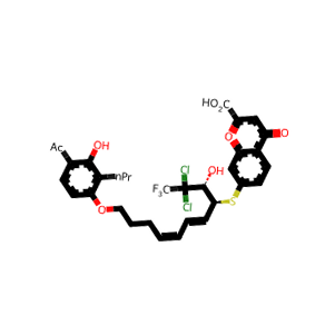 CCCc1c(OCCC/C=C\C=C\[C@H](Sc2ccc3c(=O)cc(C(=O)O)oc3c2)[C@@H](O)C(Cl)(Cl)C(F)(F)F)ccc(C(C)=O)c1O